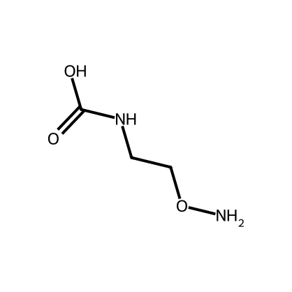 NOCCNC(=O)O